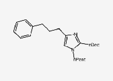 CCCCCCCCCCc1nc(CCCc2ccccc2)cn1CCCCC